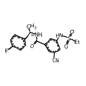 CCS(=O)(=O)Nc1cc(C#N)cc(C(=O)N[C@H](C)c2ccc(F)cc2)c1